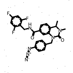 CC1c2ccc(C(=O)NCc3c(F)cc(F)cc3F)cc2N(Cc2ccc(N=[N+]=[N-])cc2)C(=O)N1C